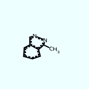 Cc1nncc2ccccc12